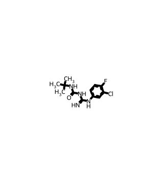 CC(C)(C)NC(=O)NC(=N)Nc1ccc(F)c(Cl)c1